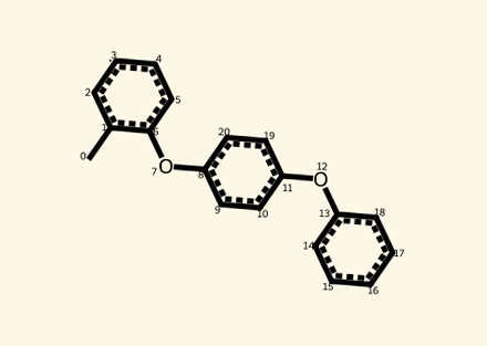 Cc1c[c]ccc1Oc1ccc(Oc2ccccc2)cc1